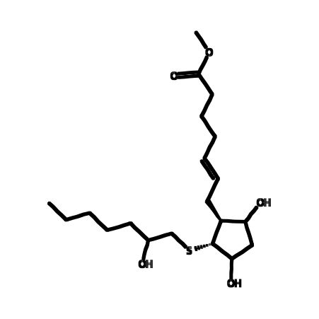 CCCCCC(O)CS[C@H]1C(O)CC(O)[C@@H]1CC=CCCCC(=O)OC